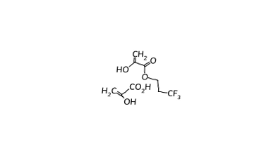 C=C(O)C(=O)O.C=C(O)C(=O)OCCC(F)(F)F